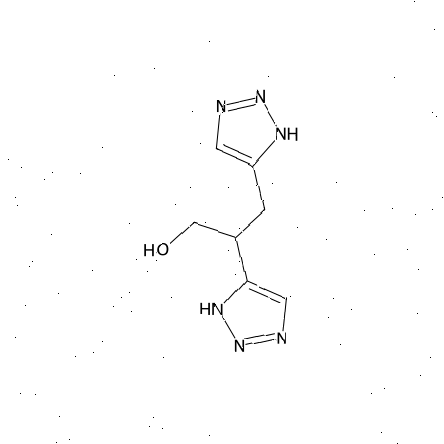 OCC(Cc1cnn[nH]1)c1cnn[nH]1